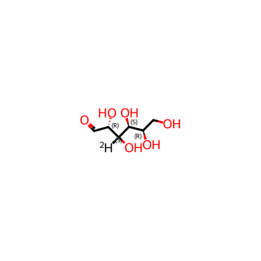 [2H][C@@](O)([C@@H](O)C=O)[C@@H](O)[C@H](O)CO